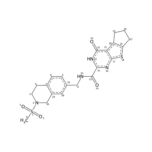 CS(=O)(=O)N1CCc2ccc(CNC(=O)c3nc4sc5c(c4c(=O)[nH]3)CCC5)cc2C1